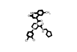 Cc1ccc2[nH]c(=O)cc(C(=O)N3CCN(c4ccc(Cl)c(Cl)c4)CC3C(=O)NCC3CCCC3)c2c1